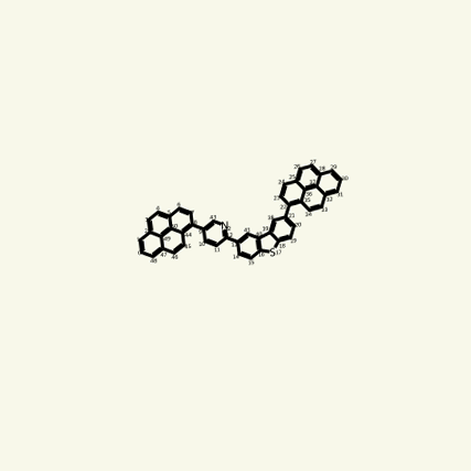 c1cc2ccc3ccc(-c4ccc(-c5ccc6sc7ccc(-c8ccc9ccc%10cccc%11ccc8c9c%10%11)cc7c6c5)nc4)c4ccc(c1)c2c34